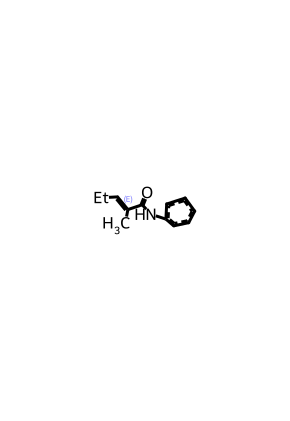 CC/C=C(\C)C(=O)Nc1ccccc1